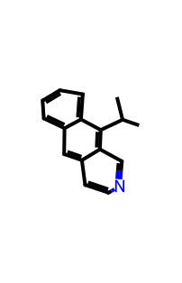 CC(C)c1c2ccccc2cc2ccncc12